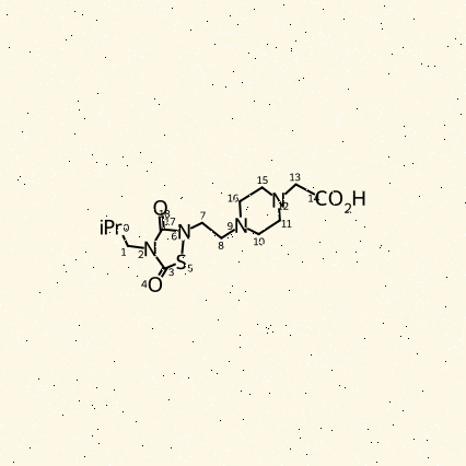 CC(C)Cn1c(=O)sn(CCN2CCN(CC(=O)O)CC2)c1=O